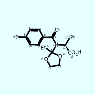 CCC1(N(C(=O)c2ccc(F)cc2)[C@H](C(=O)O)C(C)C)OCCO1